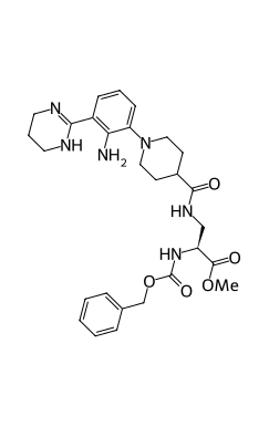 COC(=O)[C@H](CNC(=O)C1CCN(c2cccc(C3=NCCCN3)c2N)CC1)NC(=O)OCc1ccccc1